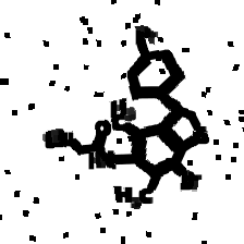 Cc1c(Br)c2c(c(C)c1NC(=O)CC(C)(C)C)C(c1ccc(C(C)C)cc1)CS2